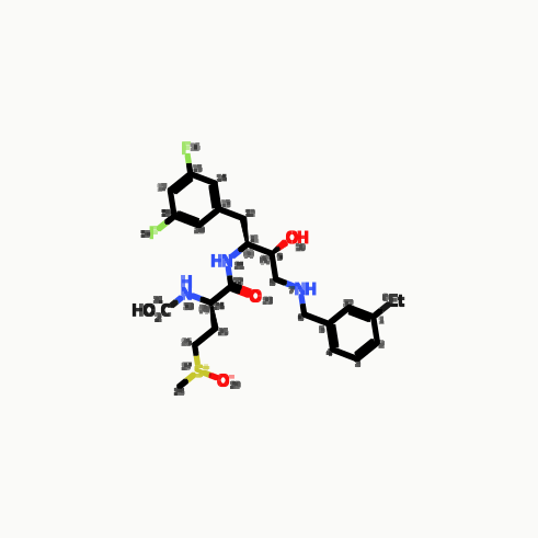 CCc1cccc(CNC[C@H](O)[C@H](Cc2cc(F)cc(F)c2)NC(=O)[C@@H](CC[S+](C)[O-])NC(=O)O)c1